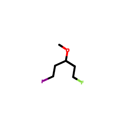 COC(CCF)CCI